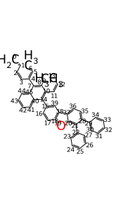 C=C/C=C\C(=C/C)c1c(C)c(/C=C\C)c(-c2ccc3oc4c(-c5ccccc5)c(-c5ccccc5)ccc4c3c2)c2ccccc12